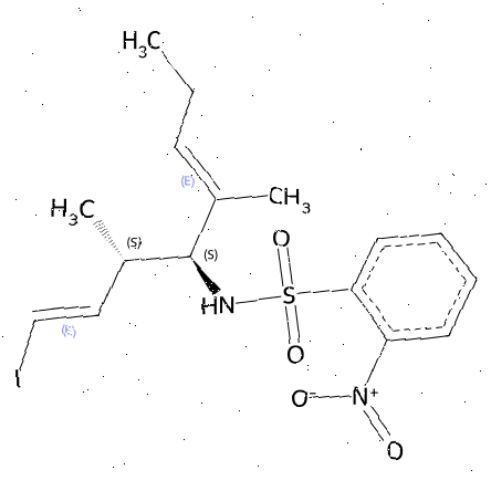 CC/C=C(\C)[C@@H](NS(=O)(=O)c1ccccc1[N+](=O)[O-])[C@@H](C)/C=C/I